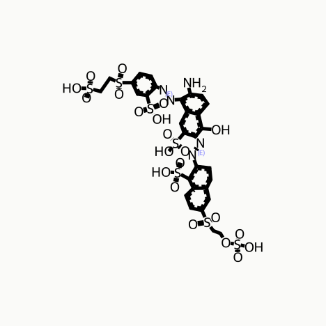 Nc1ccc2c(O)c(/N=N/c3ccc4cc(S(=O)(=O)CCOS(=O)(=O)O)ccc4c3S(=O)(=O)O)c(S(=O)(=O)O)cc2c1/N=N/c1ccc(S(=O)(=O)CCS(=O)(=O)O)cc1S(=O)(=O)O